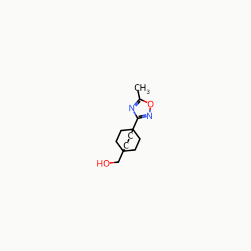 Cc1nc(C23CCC(CO)(CC2)CC3)no1